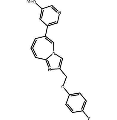 COc1cncc(C2=Cn3cc(COc4ccc(F)cc4)nc3C=C=C2)c1